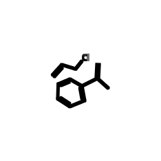 C=C(C)c1ccccc1.C=CCCl